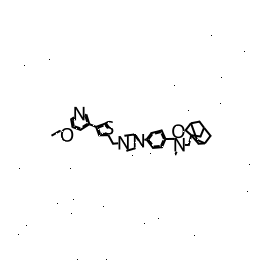 CCOc1cncc(-c2csc(CN3CCN(c4ccc(C(=O)N(C)CC56CC7CC(CC(C7)C5)C6)cc4)CC3)c2)c1